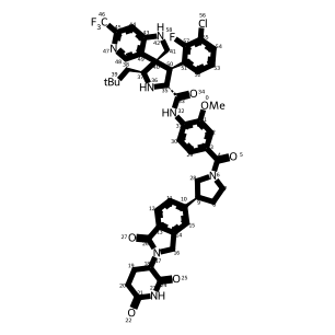 COc1cc(C(=O)N2CC[C@@H](c3ccc4c(c3)CN(C3CCC(=O)NC3=O)C4=O)C2)ccc1NC(=O)[C@@H]1N[C@@H](CC(C)(C)C)[C@@]2(CNc3cc(C(F)(F)F)ncc32)[C@H]1c1cccc(Cl)c1F